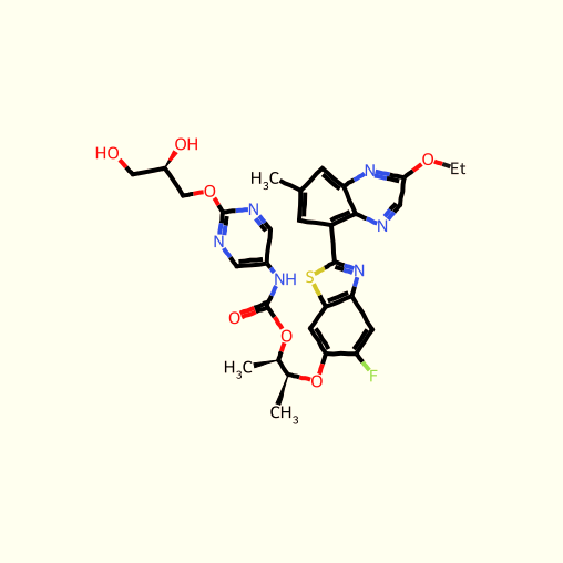 CCOc1cnc2c(-c3nc4cc(F)c(O[C@@H](C)[C@@H](C)OC(=O)Nc5cnc(OC[C@H](O)CO)nc5)cc4s3)cc(C)cc2n1